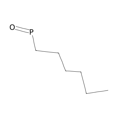 CCCCCCP=O